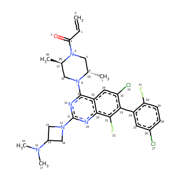 C=CC(=O)N1C[C@H](C)N(c2nc(N3CC(N(C)C)C3)nc3c(F)c(-c4cc(Cl)ccc4F)c(Cl)cc23)C[C@H]1C